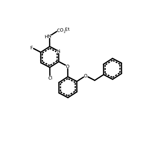 CCOC(=O)Nc1nc(Oc2ccccc2OCc2ccccc2)c(Cl)cc1F